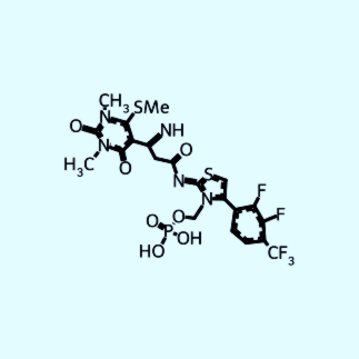 CSc1c(C(=N)CC(=O)/N=c2\scc(-c3ccc(C(F)(F)F)c(F)c3F)n2COP(=O)(O)O)c(=O)n(C)c(=O)n1C